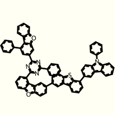 c1ccc(-c2nc(-c3cc(-c4ccccc4)c4c(c3)oc3ccccc34)nc(-c3cccc4oc5ccc(-c6ccc7sc8c(-c9ccc%10c(c9)c9ccccc9n%10-c9ccccc9)cccc8c7c6)cc5c34)n2)cc1